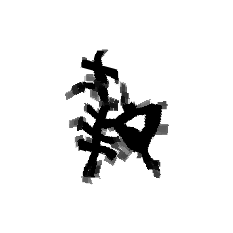 CC(C)(C)[S@@+]([O-])N[C@](C)(c1cc(Br)ccc1F)C(F)(F)C(C)(C)O